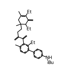 C=C(CCC1(C)CC(C)=C(CC)C(=C)C1CC)C(=C)c1c(C)ccc(-c2ccc(NC(C)CC)cc2)c1CC